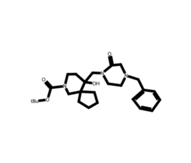 CC(C)(C)OC(=O)N1CCC(O)(CN2CCN(Cc3ccccc3)CC2=O)C2(CCCC2)C1